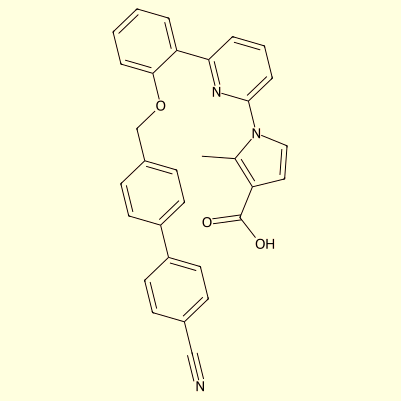 Cc1c(C(=O)O)ccn1-c1cccc(-c2ccccc2OCc2ccc(-c3ccc(C#N)cc3)cc2)n1